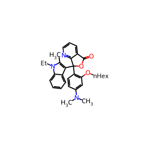 CCCCCCOc1cc(N(C)C)ccc1C1(c2c(C)n(CC)c3ccccc23)OC(=O)c2cccnc21